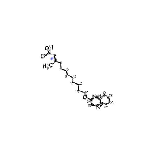 C/C(=C\C(=O)O)CCCCCCCCCOc1ccc2ccccc2n1